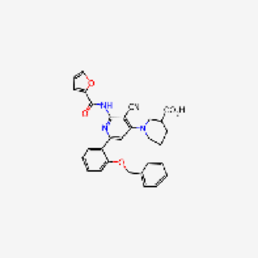 N#Cc1c(N2CCCC(C(=O)O)C2)cc(-c2ccccc2OCc2ccccc2)nc1NC(=O)c1ccco1